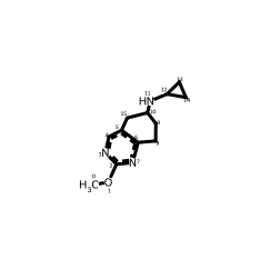 COc1ncc2c(n1)CCC(NC1CC1)C2